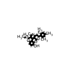 CCOC(=O)c1c(C)nc2c(c1-c1cccc(O)c1)C(=O)OC(c1c(C)cc(C)cc1C)C2